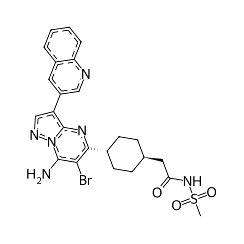 CS(=O)(=O)NC(=O)C[C@H]1CC[C@H](c2nc3c(-c4cnc5ccccc5c4)cnn3c(N)c2Br)CC1